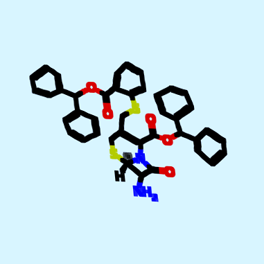 NC1C(=O)N2C(C(=O)OC(c3ccccc3)c3ccccc3)=C(CSc3ccccc3C(=O)OC(c3ccccc3)c3ccccc3)CS[C@@H]12